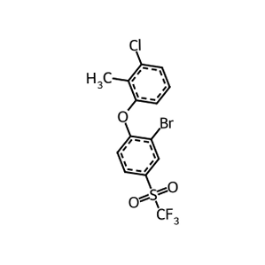 Cc1c(Cl)cccc1Oc1ccc(S(=O)(=O)C(F)(F)F)cc1Br